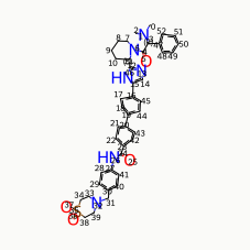 CN(C)[C@@H](C(=O)N1CCCC[C@H]1c1ncc(-c2ccc(-c3ccc(C(=O)Nc4ccc(CN5CCS(=O)(=O)CC5)cc4)cc3)cc2)[nH]1)c1ccccc1